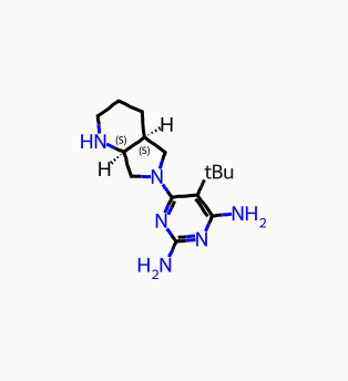 CC(C)(C)c1c(N)nc(N)nc1N1C[C@@H]2CCCN[C@@H]2C1